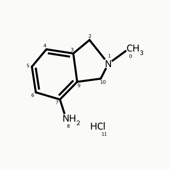 CN1Cc2cccc(N)c2C1.Cl